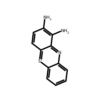 Nc1ccc2[s+]c3ccccc3nc2c1N